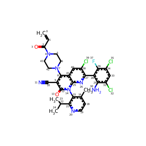 C=CC(=O)N1CCN(c2c(C#N)c(=O)n(-c3c(C)ccnc3C(C)C)c3nc(-c4c(N)c(Cl)cc(Cl)c4F)c(Cl)cc23)CC1